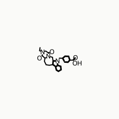 CCN1CC(=O)N2Cc3c(c4ccccc4n3Cc3ccc(C(=O)O)cc3)CCCC2C1=O